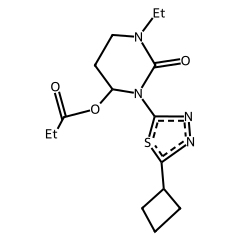 CCC(=O)OC1CCN(CC)C(=O)N1c1nnc(C2CCC2)s1